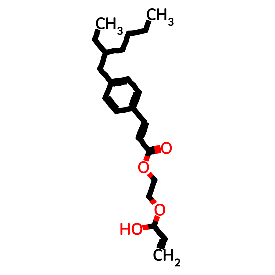 C=CC(O)OCCOC(=O)/C=C/c1ccc(CC(CC)CCCC)cc1